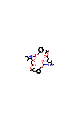 CCC(C)[C@H](NC(=O)OCc1ccccc1)C(=O)CC(=O)OC(C)(C)Cc1cccc(COC(=O)N[C@@H](C(C)CC)[C@H](O)CC(=O)OC(C)(C)C)c1